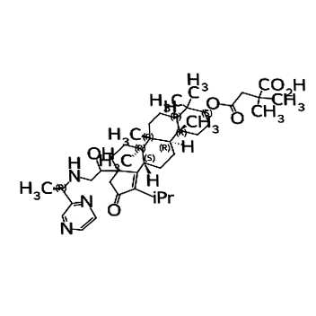 CC(C)C1=C2[C@H]3CC[C@@H]4[C@@]5(C)CC[C@H](OC(=O)CC(C)(C)C(=O)O)C(C)(C)[C@@H]5CC[C@@]4(C)[C@]3(C)CCC2(C(O)CN[C@H](C)c2cnccn2)CC1=O